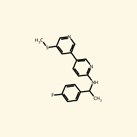 CSc1cncc(-c2ccc(NC(C)c3ccc(F)cc3)nc2)c1